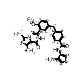 CCCc1nc(C)c2c(=O)[nH]c(-c3cc(Cc4ccc(C(=O)Nc5cscc5N)cc4)ccc3OCC)nn12